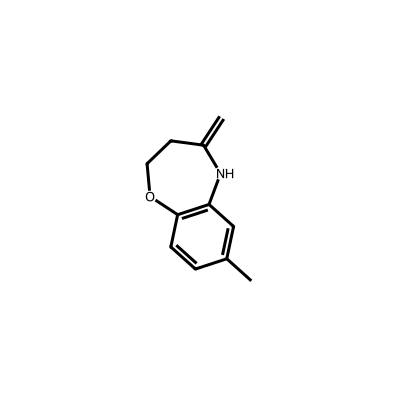 C=C1CCOc2ccc(C)cc2N1